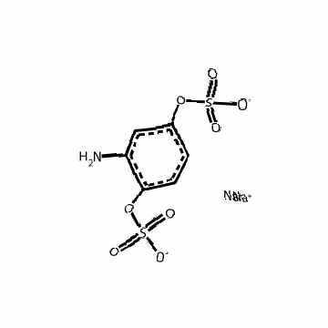 Nc1cc(OS(=O)(=O)[O-])ccc1OS(=O)(=O)[O-].[Na+].[Na+]